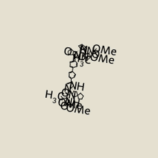 COC(=O)N[C@H](C(=O)N1CC2(CCCC2)C[C@H]1c1ncc(-c2ccc(-c3ccc(-c4[nH]c([C@@H]5CCCN5C(=O)[C@@H](NC(=O)OC)[C@@H](C)OC)c5c4COC5)cc3)cc2)[nH]1)[C@@H](C)OC